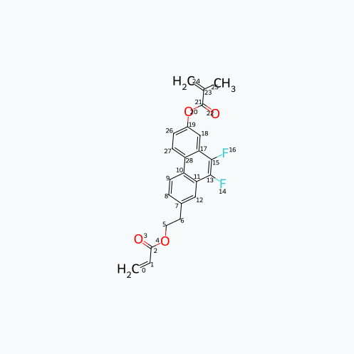 C=CC(=O)OCCc1ccc2c(c1)c(F)c(F)c1cc(OC(=O)C(=C)C)ccc12